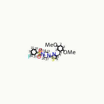 COc1ccc(OC)c(Cc2csc(N3CCN(S(=O)(=O)c4cccc(F)c4)CC3)n2)c1